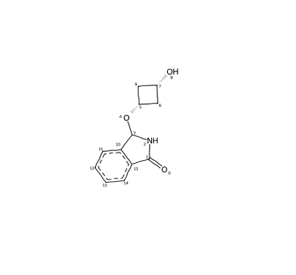 O=C1NC(O[C@H]2C[C@@H](O)C2)c2ccccc21